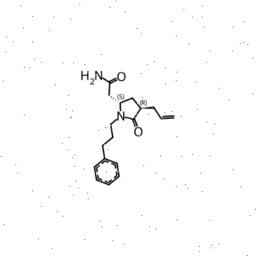 C=CC[C@@H]1C[C@@H](CC(N)=O)N(CCCc2ccccc2)C1=O